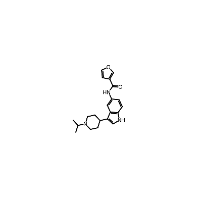 CC(C)N1CCC(c2c[nH]c3ccc(NC(=O)c4ccoc4)cc23)CC1